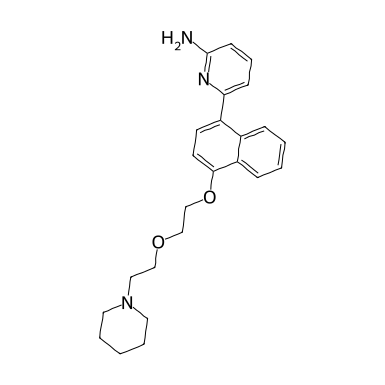 Nc1cccc(-c2ccc(OCCOCCN3CCCCC3)c3ccccc23)n1